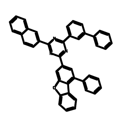 c1ccc(-c2cccc(-c3nc(-c4ccc5ccccc5c4)nc(-c4cc(-c5ccccc5)c5c(c4)oc4ccccc45)n3)c2)cc1